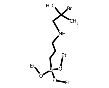 CCO[Si](CCCNCC(C)(C)Br)(OCC)OCC